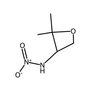 CC1(C)OCC1N[N+](=O)[O-]